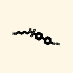 CC(=O)Nc1ccc(-c2ccc(S(=O)(=O)NCCCCO)cc2)cc1